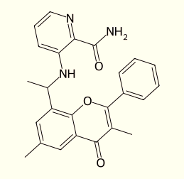 Cc1cc(C(C)Nc2cccnc2C(N)=O)c2oc(-c3ccccc3)c(C)c(=O)c2c1